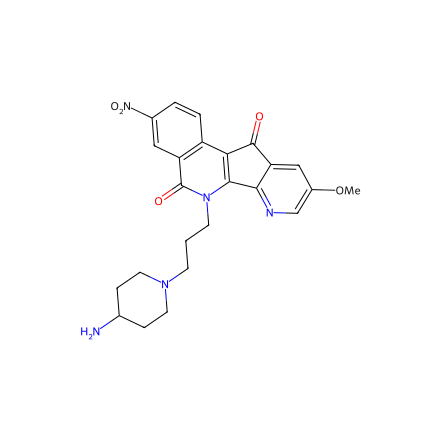 COc1cnc2c(c1)C(=O)c1c-2n(CCCN2CCC(N)CC2)c(=O)c2cc([N+](=O)[O-])ccc12